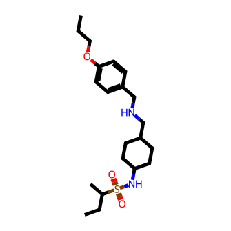 CCCOc1ccc(CNCC2CCC(NS(=O)(=O)C(C)CC)CC2)cc1